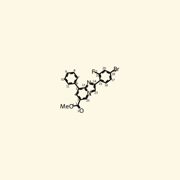 COC(=O)c1cc(-c2ccccc2)c2nc(-c3ccc(Br)cc3F)cn2c1